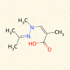 CC(=CN(C)N=C(C)C)C(=O)O